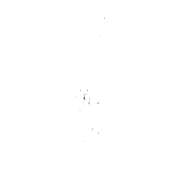 C=CCOC1CC(C)(C)N(OCCCCCCCC)C(C)(C)C1